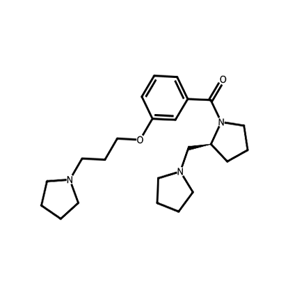 O=C(c1cccc(OCCCN2CCCC2)c1)N1CCC[C@H]1CN1CCCC1